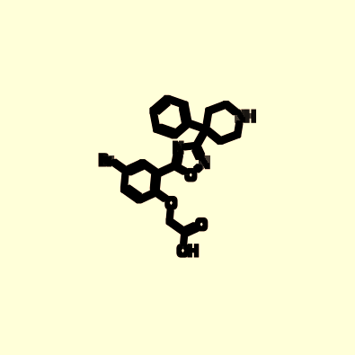 O=C(O)COc1ccc(Br)cc1-c1nc(C2(c3ccccc3)CCNCC2)no1